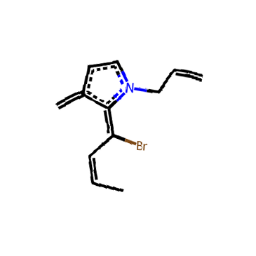 C=CCn1ccc(=C)/c1=C(Br)\C=C/C